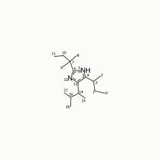 CCC(C)c1[nH]c(C(C)(C)CC)nc1C(C)C(C)C